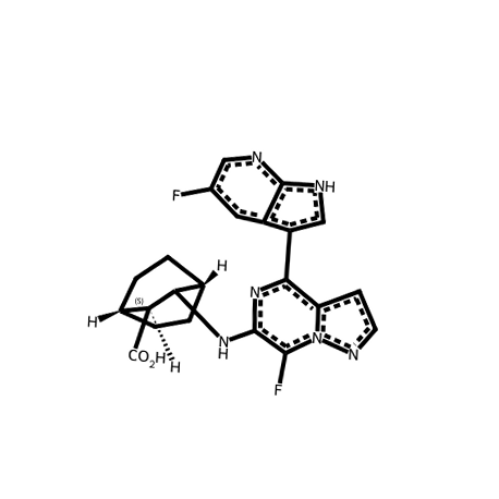 O=C(O)[C@@H]1C(Nc2nc(-c3c[nH]c4ncc(F)cc34)c3ccnn3c2F)[C@H]2CC[C@@H]1CC2